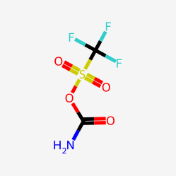 NC(=O)OS(=O)(=O)C(F)(F)F